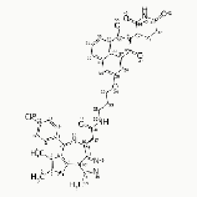 Cc1sc2c(c1C)C(c1ccc(Cl)cc1)=N[C@@H](CC(=O)NCCCOc1cc3c4c(cccc4c1)C(=O)N(C1CCC(=O)NC1=O)C3=O)c1nnc(C)n1-2